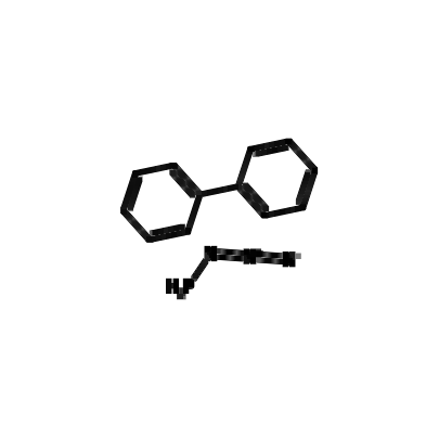 [N-]=[N+]=NP.c1ccc(-c2ccccc2)cc1